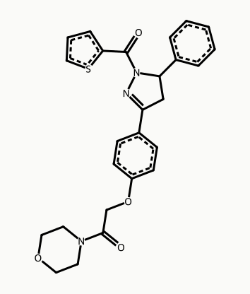 O=C(COc1ccc(C2=NN(C(=O)c3cccs3)C(c3ccccc3)C2)cc1)N1CCOCC1